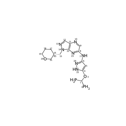 PC(P)Oc1cc(Nc2cnc3cnn(C[C@H]4CCCOC4)c3n2)n[nH]1